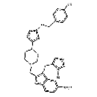 CCn1cncc1Cn1c(CN2CCC(c3ccn(OCc4ccc(C#N)cc4)n3)CC2)nc2ccc(C(=O)O)cc21